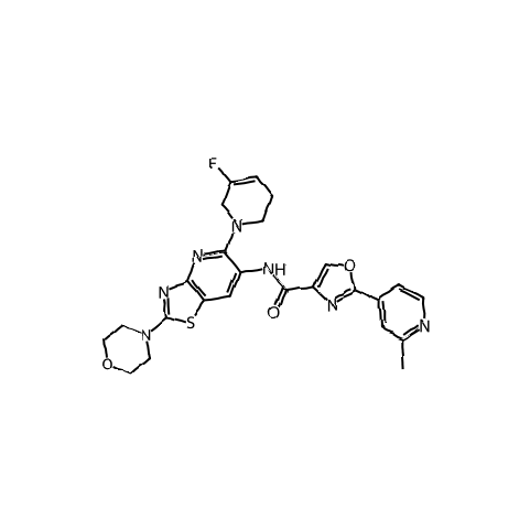 Cc1cc(-c2nc(C(=O)Nc3cc4sc(N5CCOCC5)nc4nc3N3CCC=C(F)C3)co2)ccn1